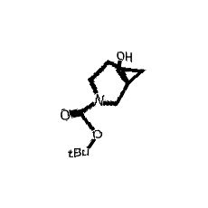 CC(C)(C)OC(=O)N1CCC2CC2(CO)C1